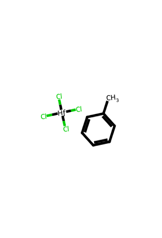 Cc1ccccc1.[Cl][Hf]([Cl])([Cl])[Cl]